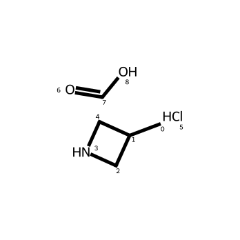 CC1CNC1.Cl.O=CO